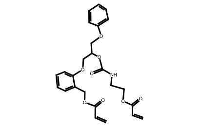 C=CC(=O)OCCNC(=O)OC(COc1ccccc1)COc1ccccc1COC(=O)C=C